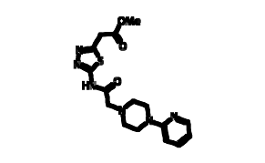 COC(=O)Cc1nnc(NC(=O)CN2CCN(c3ccccn3)CC2)s1